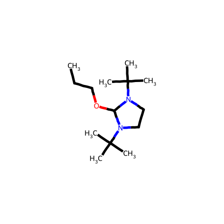 CCCOC1N(C(C)(C)C)CCN1C(C)(C)C